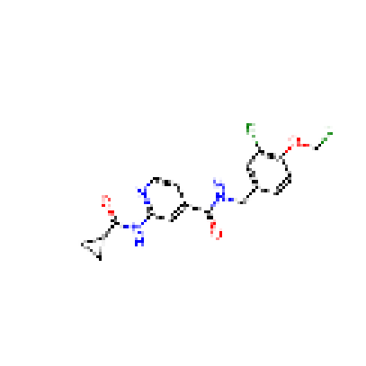 O=C(NCc1ccc(OCF)c(F)c1)c1ccnc(NC(=O)C2CC2)c1